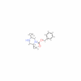 CC1CN(C(=O)OCc2ccccc2)C(C)CN1